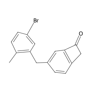 Cc1ccc(Br)cc1Cc1ccc2c(c1)C(=O)C2